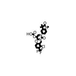 CN1C(=O)C(C)(C)c2cc(-n3cc(OC(=O)O)c(=O)n(Cc4cccc(C(F)(F)F)c4Cl)c3=O)ccc21